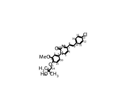 COc1cc(-n2ccc(C=Cc3ccc(Cl)cc3)nc2=O)ccc1OCC(C)(C)O